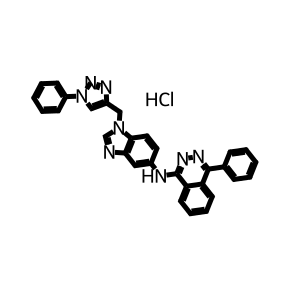 Cl.c1ccc(-c2nnc(Nc3ccc4c(c3)ncn4Cc3cn(-c4ccccc4)nn3)c3ccccc23)cc1